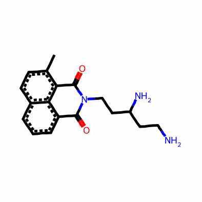 Cc1ccc2cccc3c2c1C(=O)N(CCC(N)CCN)C3=O